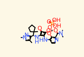 Cc1cn(C)nc1[C@H](Nc1c(Nc2ccnc(C(=O)N(C)C)c2OCOP(=O)(O)O)c(=O)c1=O)C1(C)CCCC1